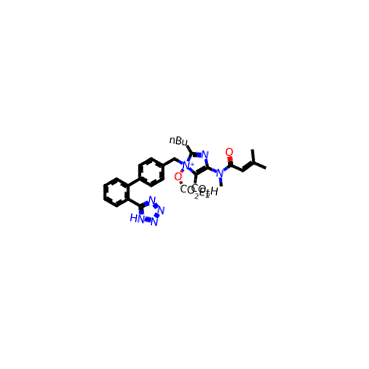 CCCCC1=NC(N(C)C(=O)C=C(C)C)=C(C(=O)O)[N+]1(Cc1ccc(-c2ccccc2-c2nnn[nH]2)cc1)OC(=O)OCC